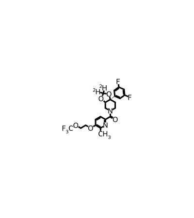 [2H]C1([2H])OC2CN(C(=O)c3ccc(OCCOC(F)(F)F)c(C)n3)CC[C@]2(c2cc(F)cc(F)c2)O1